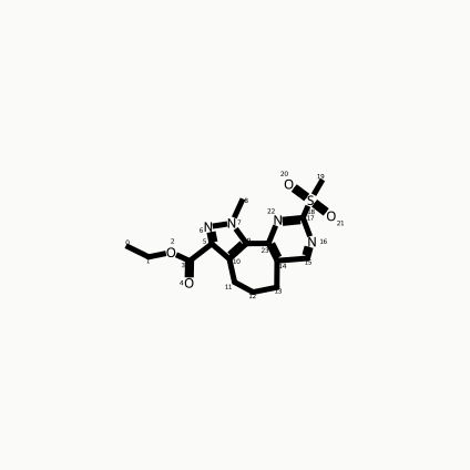 CCOC(=O)c1nn(C)c2c1CCCc1cnc(S(C)(=O)=O)nc1-2